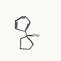 O=[C]C1(c2ccccc2)CCCC1